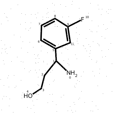 NC(CCO)c1cccc(F)c1